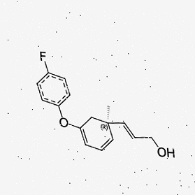 C[C@]1(C=CCO)C=CC=C(Oc2ccc(F)cc2)C1